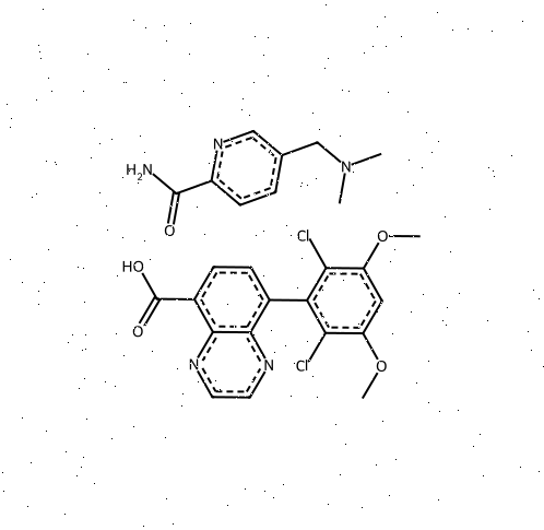 CN(C)Cc1ccc(C(N)=O)nc1.COc1cc(OC)c(Cl)c(-c2ccc(C(=O)O)c3nccnc23)c1Cl